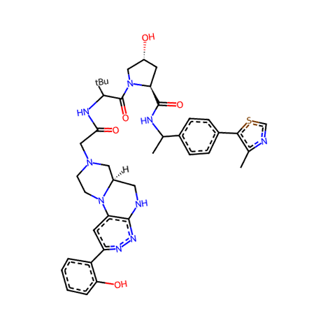 Cc1ncsc1-c1ccc(C(C)NC(=O)[C@@H]2C[C@@H](O)CN2C(=O)C(NC(=O)CN2CCN3c4cc(-c5ccccc5O)nnc4NC[C@@H]3C2)C(C)(C)C)cc1